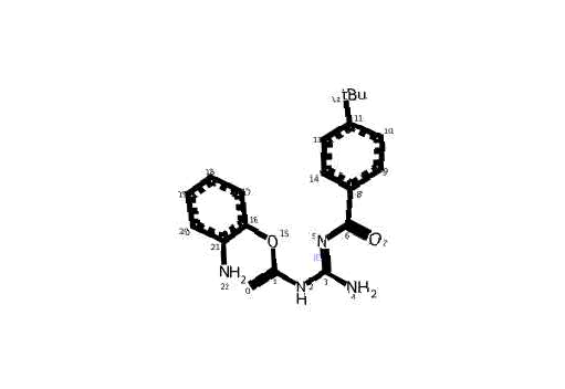 C=C(N/C(N)=N/C(=O)c1ccc(C(C)(C)C)cc1)Oc1ccccc1N